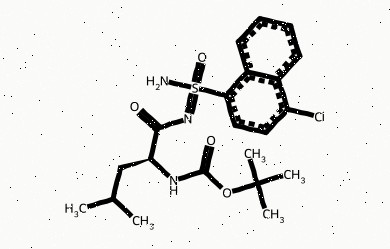 CC(C)C[C@H](NC(=O)OC(C)(C)C)C(=O)N=S(N)(=O)c1ccc(Cl)c2ccccc12